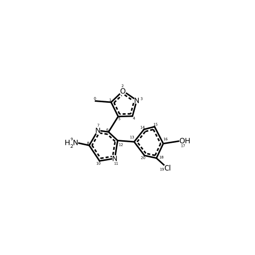 Cc1oncc1-c1nc(N)cnc1-c1ccc(O)c(Cl)c1